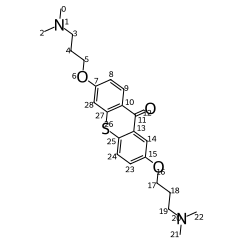 CN(C)CCCOc1ccc2c(=O)c3cc(OCCCN(C)C)ccc3sc2c1